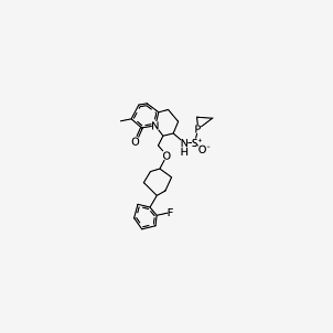 Cc1ccc2n(c1=O)C(COC1CCC(c3ccccc3F)CC1)C(N[S+]([O-])P1CC1)CC2